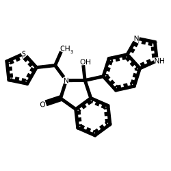 CC(c1cccs1)N1C(=O)c2ccccc2C1(O)c1ccc2[nH][c]nc2c1